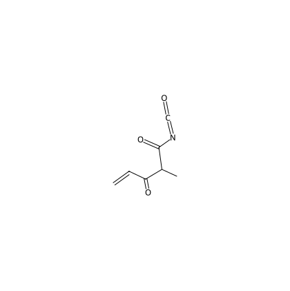 C=CC(=O)C(C)C(=O)N=C=O